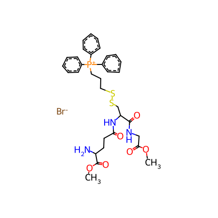 COC(=O)CNC(=O)C(CSSCCC[P+](c1ccccc1)(c1ccccc1)c1ccccc1)NC(=O)CCC(N)C(=O)OC.[Br-]